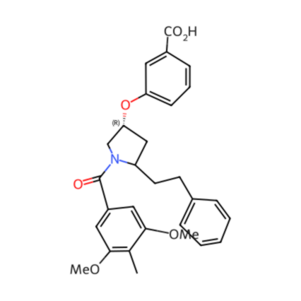 COc1cc(C(=O)N2C[C@H](Oc3cccc(C(=O)O)c3)CC2CCc2ccccc2)cc(OC)c1C